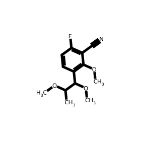 COc1c(C(OC)C(C)OC)ccc(F)c1C#N